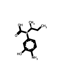 CC[C@H](C)N(C(=O)O)c1ccc(N)c(O)c1